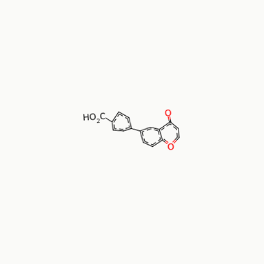 O=C(O)c1ccc(-c2ccc3occc(=O)c3c2)cc1